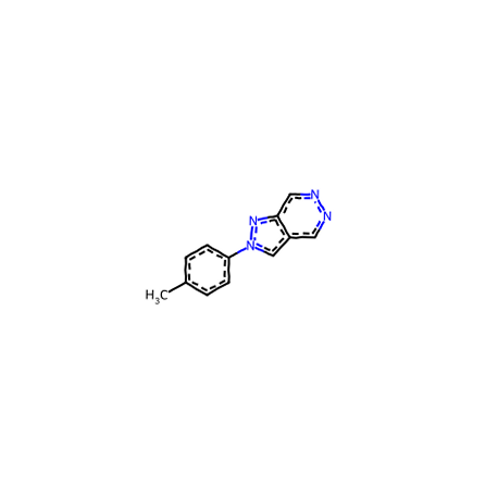 Cc1ccc(-n2cc3cnncc3n2)cc1